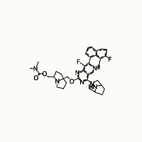 C#Cc1c(F)ccc2cccc(-c3ncc4c(N5CC6CCC(C5)N6)nc(OCC56CCCN5C(COC(=O)N(C)C)CC6)nc4c3F)c12